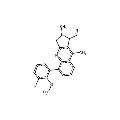 COc1c(F)cccc1-c1cccc2c(N)c3c(nc12)CN(C)C3C=O